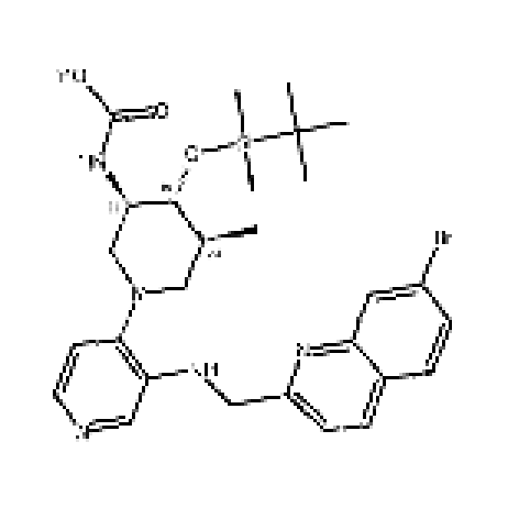 C[C@H]1CN(c2ccncc2NCc2ccc3ccc(Br)cc3n2)C[C@@H](NC(=O)O)[C@@H]1O[Si](C)(C)C(C)(C)C